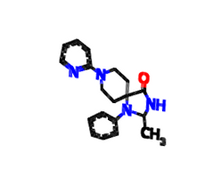 CC1NC(=O)C2(CCN(c3ccccn3)CC2)N1c1ccccc1